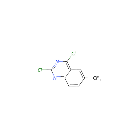 FC(F)(F)c1ccc2nc(Cl)nc(Cl)c2c1